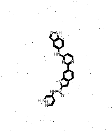 N/C=C\C(=C/N)N[S+]([O-])c1cc2ccc(-c3nccc(Nc4ccc5[nH]ncc5c4)n3)cc2[nH]1